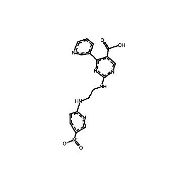 O=C(O)c1cnc(NCCNc2ccc([N+](=O)[O-])cn2)nc1-c1cccnc1